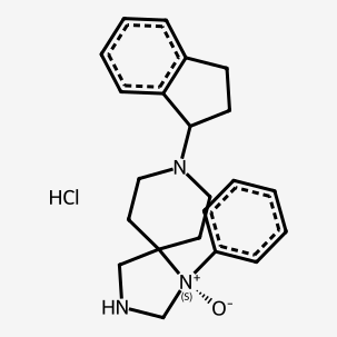 Cl.[O-][N@+]1(c2ccccc2)CNCC12CCN(C1CCc3ccccc31)CC2